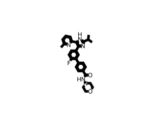 Cc1cccc(-c2[nH]c(C(C)C)nc2-c2ccc(F)c(-c3ccc(C(=O)NN4CCOCC4)cc3)c2)n1